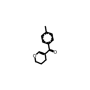 Cc1ccc(C(=O)C2=COCCC2)cc1